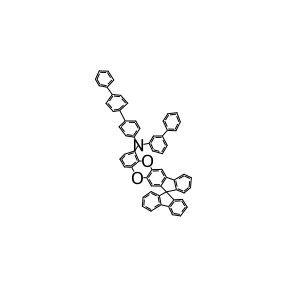 c1ccc(-c2ccc(-c3ccc(N(c4cccc(-c5ccccc5)c4)c4cccc5c4Oc4cc6c(cc4O5)C4(c5ccccc5-c5ccccc54)c4ccccc4-6)cc3)cc2)cc1